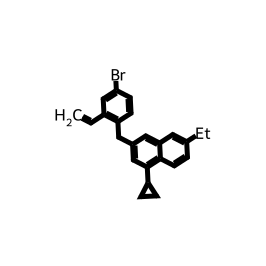 C=Cc1cc(Br)ccc1Cc1cc(C2CC2)c2ccc(CC)cc2c1